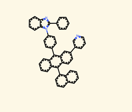 c1ccc(-c2nc3ccccc3n2-c2ccc(-c3c4ccccc4c(-c4cccc5ccccc45)c4ccc(-c5cccnc5)cc34)cc2)cc1